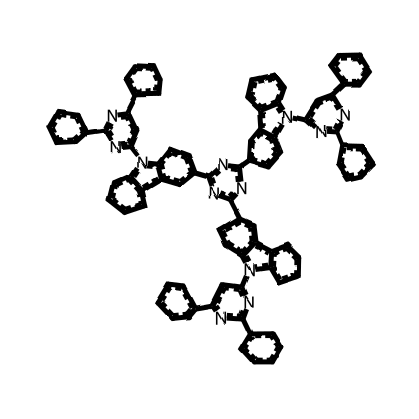 c1ccc(-c2cc(-n3c4ccccc4c4cc(-c5nc(-c6ccc7c(c6)c6ccccc6n7-c6cc(-c7ccccc7)nc(-c7ccccc7)n6)nc(-c6ccc7c(c6)c6ccccc6n7-c6cc(-c7ccccc7)nc(-c7ccccc7)n6)n5)ccc43)nc(-c3ccccc3)n2)cc1